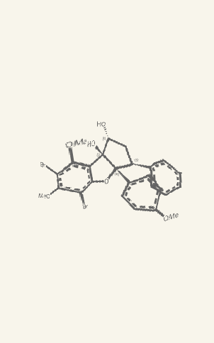 COc1ccc([C@@]23Oc4c(Br)c(OC)c(Br)c(OC)c4[C@]2(O)[C@H](O)C[C@H]3c2ccccc2)cc1